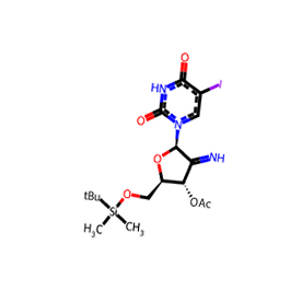 CC(=O)O[C@H]1C(=N)[C@H](n2cc(I)c(=O)[nH]c2=O)O[C@@H]1CO[Si](C)(C)C(C)(C)C